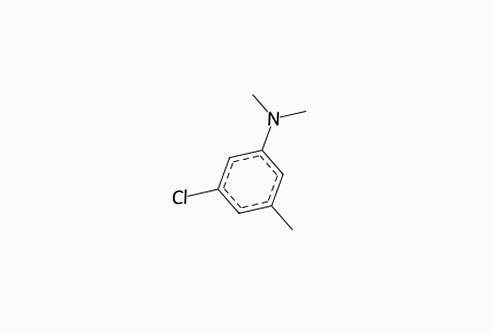 Cc1cc(Cl)cc(N(C)C)c1